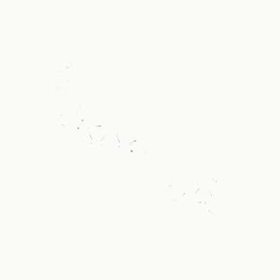 Nc1cc(N)cc(C(=O)OCCCCCCOC(=O)/C=C/c2ccc(OC(F)(F)C3CCC(CCCC(F)(F)F)CC3)cc2)c1